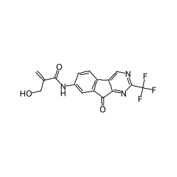 C=C(CO)C(=O)Nc1ccc2c(c1)C(=O)c1nc(C(F)(F)F)ncc1-2